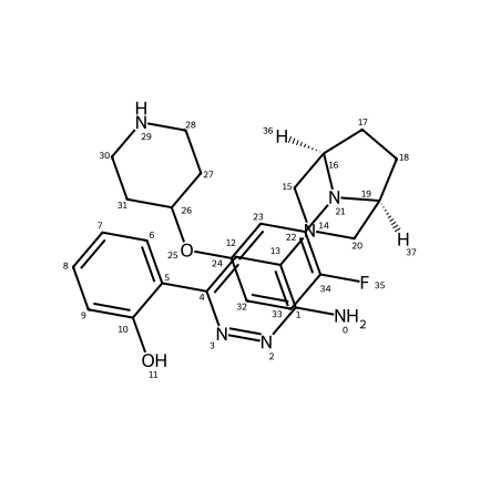 Nc1nnc(-c2ccccc2O)cc1N1C[C@H]2CC[C@@H](C1)N2c1cc(OC2CCNCC2)ccc1F